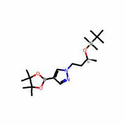 C[C@@H](CCn1cc(B2OC(C)(C)C(C)(C)O2)cn1)O[Si](C)(C)C(C)(C)C